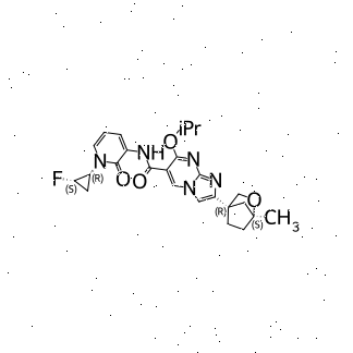 CC(C)Oc1nc2nc([C@@]34CC[C@@](C)(C3)OC4)cn2cc1C(=O)Nc1cccn([C@@H]2C[C@@H]2F)c1=O